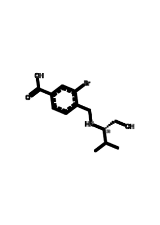 CC(C)[C@@H](CO)NCc1ccc(C(=O)O)cc1Br